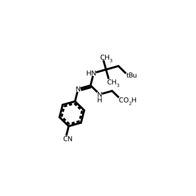 CC(C)(C)CC(C)(C)NC(=Nc1ccc(C#N)cc1)NCC(=O)O